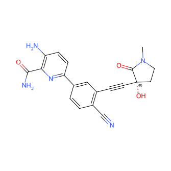 CN1CC[C@@](O)(C#Cc2cc(-c3ccc(N)c(C(N)=O)n3)ccc2C#N)C1=O